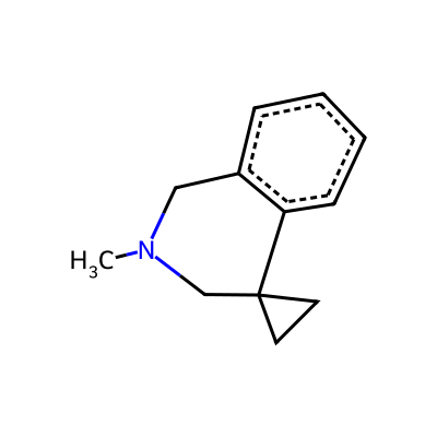 CN1Cc2ccccc2C2(CC2)C1